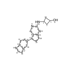 OC1CC(Nc2ncc3c(-c4ccc5nccn5c4)ccn3n2)C1